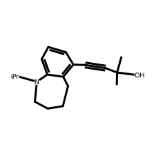 CC(C)N1CCCCc2c(C#CC(C)(C)O)cccc21